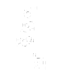 Cc1cc(C(=O)NNC(=O)c2cnn3c(C4CCN(C(=O)OC(C)(C)C)CC4)cc(=O)[nH]c23)ccn1